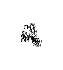 COCC(NC(=O)O)C(=O)N[C@@H](CCCc1cccc(Cl)c1)B1OC(C)(C)C(C)(C)O1